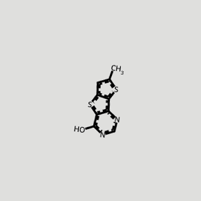 Cc1cc2sc3c(O)ncnc3c2s1